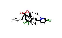 C[C@H]1OC(=O)[C@]2(CCC(=O)O)CC(F)(F)[C@@H](C)[C@H](C=Cc3ccc(Br)cn3)[C@H]12